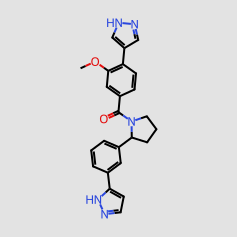 COc1cc(C(=O)N2CCCC2c2cccc(-c3ccn[nH]3)c2)ccc1-c1cn[nH]c1